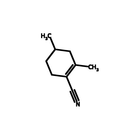 CC1=C(C#N)CCC(C)C1